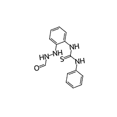 O=CNNc1ccccc1NC(=S)Nc1ccccc1